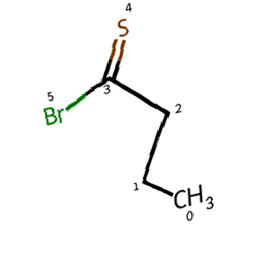 CCCC(=S)Br